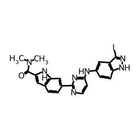 CN(C)C(=O)c1cc2ccc(-c3nccc(Nc4ccc5[nH]nc(I)c5c4)n3)cc2[nH]1